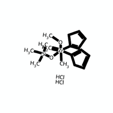 Cl.Cl.[CH2]=[Zr]([CH3])([O]C)([O][Si](C)(C)C)([C]1=CC=CC1)[C]1=CC=CC1